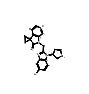 O=C1N(Cc2nc3cc(Cl)ccc3n2C2CCOC2)c2cnccc2C12CC2